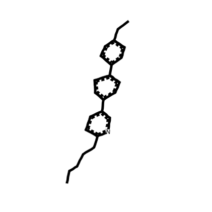 CCCCCc1ccc(-c2ccc(-c3ccc(CC)cc3)cc2)cn1